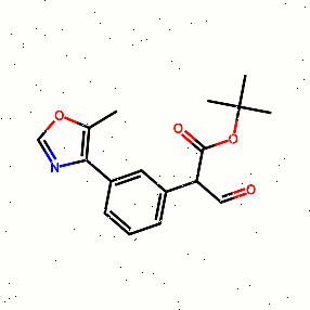 Cc1ocnc1-c1cccc(C(C=O)C(=O)OC(C)(C)C)c1